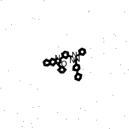 c1ccc(-c2ccc(-c3nc(-c4ccccc4)nc(-c4cccc(-c5nc6cc7ccccc7cc6c6c5oc5ccccc56)c4)n3)cc2)cc1